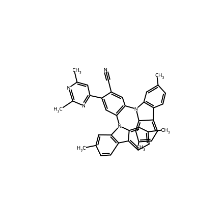 Cc1ccc2c3ccc(C)cc3n(-c3cc(C#N)c(-c4cc(C)nc(C)n4)cc3-n3c4cc(C)ccc4c4ccc(C)cc43)c2c1